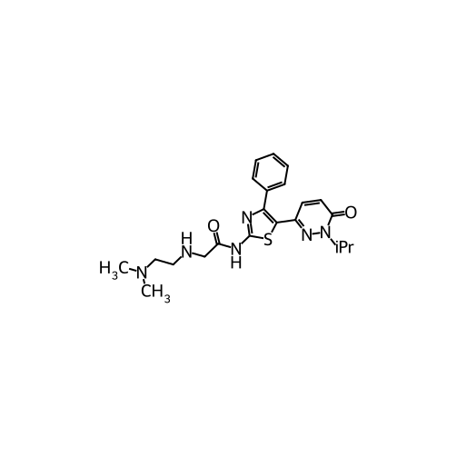 CC(C)n1nc(-c2sc(NC(=O)CNCCN(C)C)nc2-c2ccccc2)ccc1=O